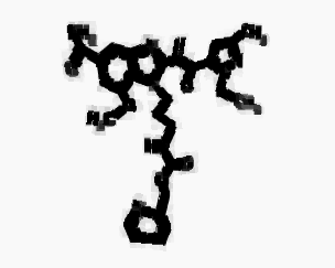 CCn1nc(C)cc1C(=O)Nc1nc2cc(C(N)=O)cc(OC)c2n1CCCNC(=O)OCc1ccccn1